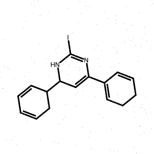 IC1=NC(C2=CCCC=C2)=CC(C2C=CC=CC2)N1